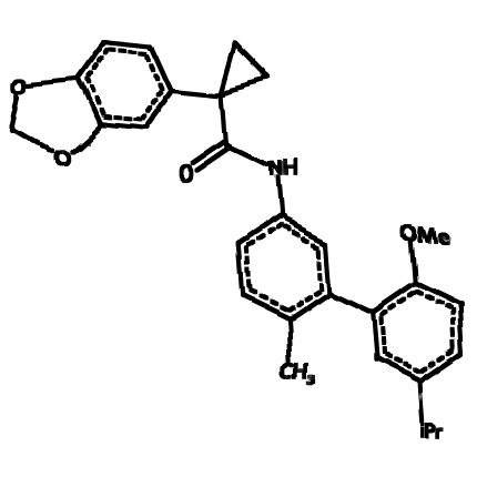 COc1ccc(C(C)C)cc1-c1cc(NC(=O)C2(c3ccc4c(c3)OCO4)CC2)ccc1C